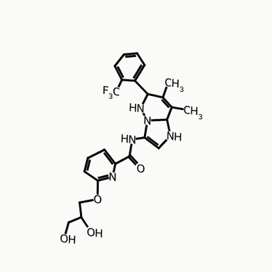 CC1=C(C)C2NC=C(NC(=O)c3cccc(OCC(O)CO)n3)N2NC1c1ccccc1C(F)(F)F